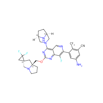 N#Cc1cc(N)cc(-c2ncc3c(N4C[C@H]5CC[C@@H](C4)N5)nc(OC[C@@]45CCCN4C[C@@]4(CC4(F)F)C5)nc3c2F)c1C(F)(F)F